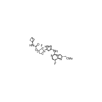 COCc1cn2c(Nc3cc([C@H]4OC[C@@H](OC(=O)NC56CC(C5)C6)[C@@H]4F)[nH]n3)ncc(F)c2n1